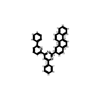 c1ccc(-c2cccc(-c3cc(-c4ccccc4)nc(-c4ccc5ccc6c7ccccc7ccc6c5c4)n3)n2)cc1